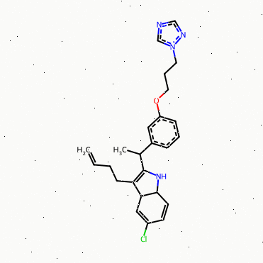 C=CCCC1=C(C(C)c2cccc(OCCCn3cncn3)c2)NC2C=CC(Cl)=CC12